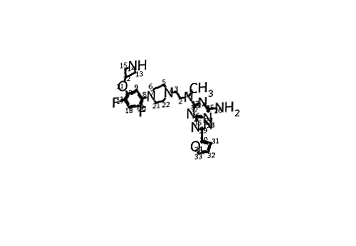 CN(CCN1CCN(c2cc(OC3CNC3)c(F)cc2F)CC1)c1nc(N)n2nc(-c3ccco3)nc2n1